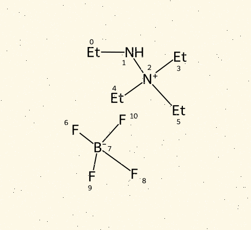 CCN[N+](CC)(CC)CC.F[B-](F)(F)F